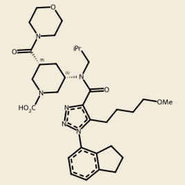 COCCCCc1c(C(=O)N(CC(C)C)[C@H]2C[C@@H](C(=O)N3CCOCC3)CN(C(=O)O)C2)nnn1-c1cccc2c1CCC2